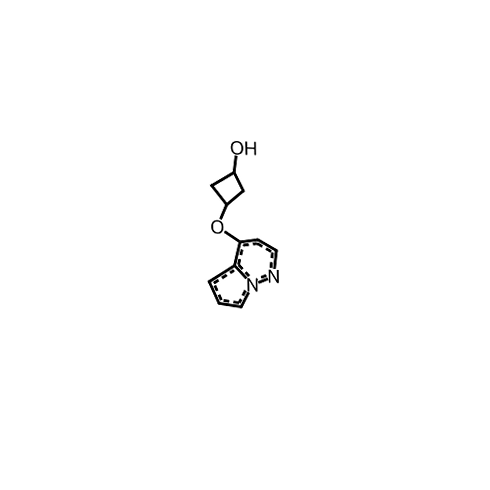 OC1CC(Oc2ccnn3cccc23)C1